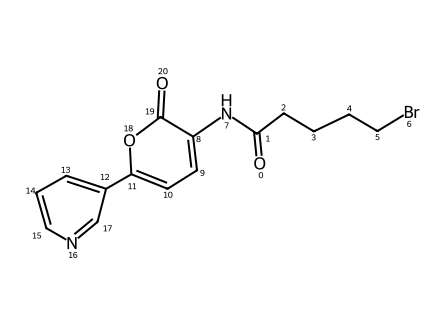 O=C(CCCCBr)Nc1ccc(-c2cccnc2)oc1=O